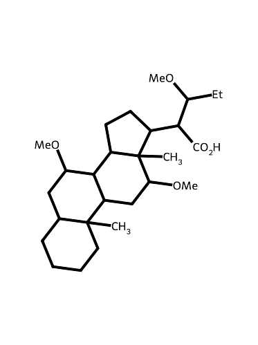 CCC(OC)C(C(=O)O)C1CCC2C3C(OC)CC4CCCCC4(C)C3CC(OC)C12C